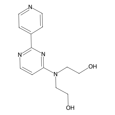 OCCN(CCO)c1ccnc(-c2ccncc2)n1